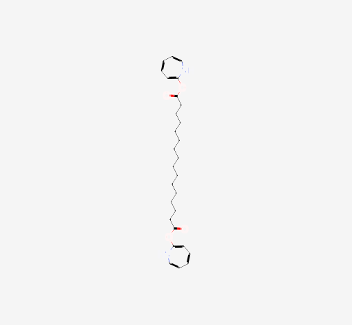 O=C(CCCCCCCCCCCCCCC(=O)OC1=CC=CC=CN1)OC1=CC=CC=CN1